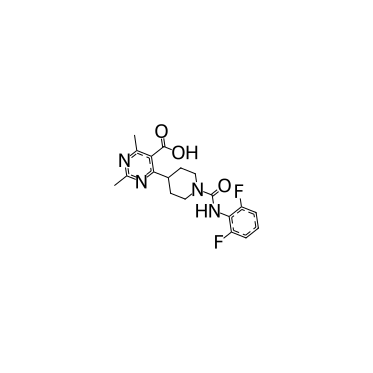 Cc1nc(C)c(C(=O)O)c(C2CCN(C(=O)Nc3c(F)cccc3F)CC2)n1